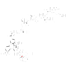 CNC(CCCCN)C(=O)CNC(CSC1CC(=O)N(CCC(=O)N(C)CCCN(C)CCCN(C)C(=O)c2ccc(-n3nc(C(=O)NC4(C(=O)O)C5CC6CC(C5)CC4C6)cc3-c3c(OC)cccc3OC)c(C(C)C)c2)C1=O)C(N)=O